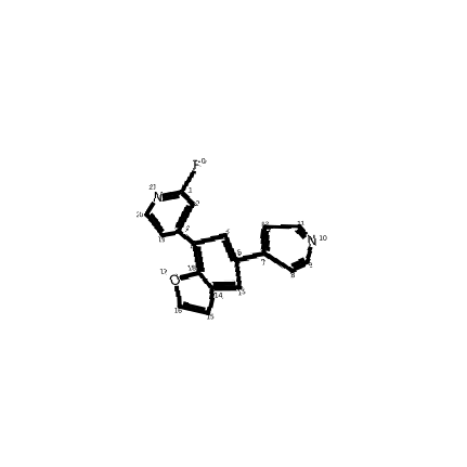 Fc1cc(-c2cc(-c3ccncc3)cc3ccoc23)ccn1